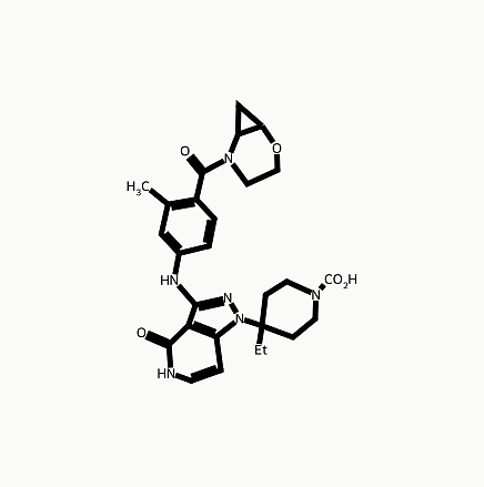 CCC1(n2nc(Nc3ccc(C(=O)N4CCOC5CC54)c(C)c3)c3c(=O)[nH]ccc32)CCN(C(=O)O)CC1